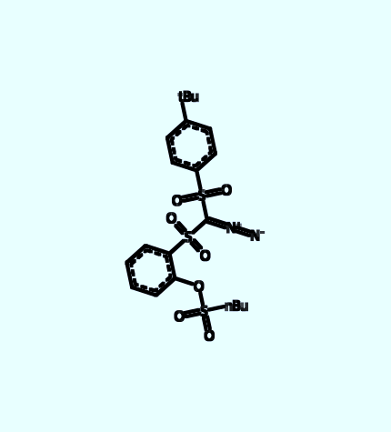 CCCCS(=O)(=O)Oc1ccccc1S(=O)(=O)C(=[N+]=[N-])S(=O)(=O)c1ccc(C(C)(C)C)cc1